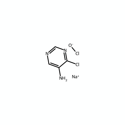 Nc1cncnc1Cl.[Na+].[O-]Cl